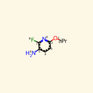 CC(C)Oc1ccc(N)c(F)n1